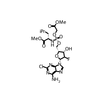 COC(=O)COP(=O)(N[C@@H](CC(C)C)C(=O)OC)OC[C@H]1O[C@@H](n2cnc3c(N)nc(Cl)nc32)C(F)[C@H]1O